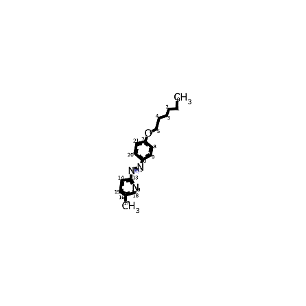 CCCCCCOc1ccc(/N=N/c2ccc(C)cn2)cc1